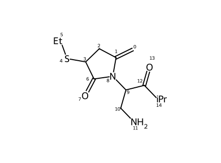 C=C1CC(SCC)C(=O)N1C(CN)C(=O)C(C)C